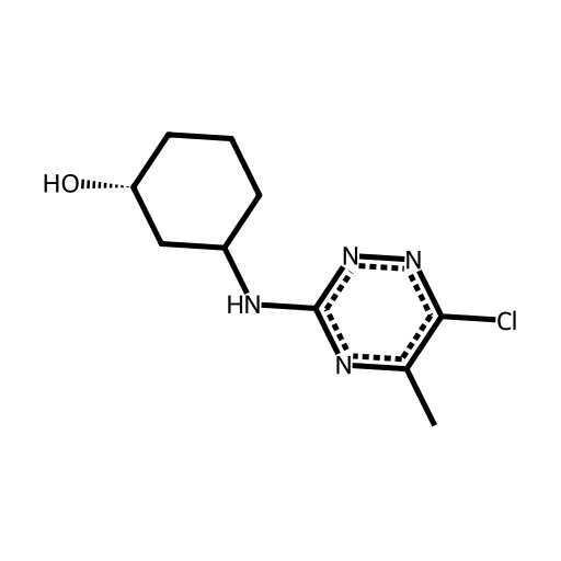 Cc1nc(NC2CCC[C@@H](O)C2)nnc1Cl